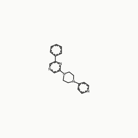 c1ccc(-c2cncc(N3CCN(c4ccncc4)CC3)n2)cc1